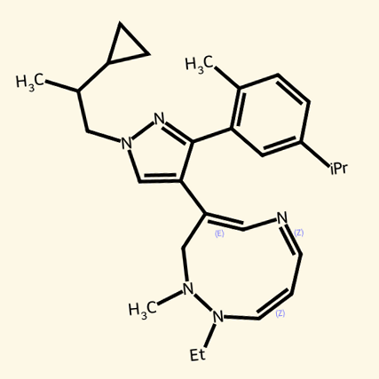 CCN1\C=C/C=N\C=C(/c2cn(CC(C)C3CC3)nc2-c2cc(C(C)C)ccc2C)CN1C